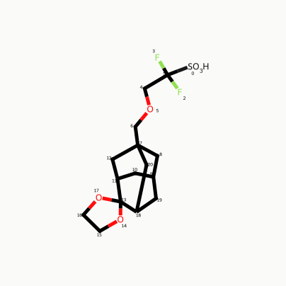 O=S(=O)(O)C(F)(F)COCC12CC3CC(C1)C1(OCCO1)C(C3)C2